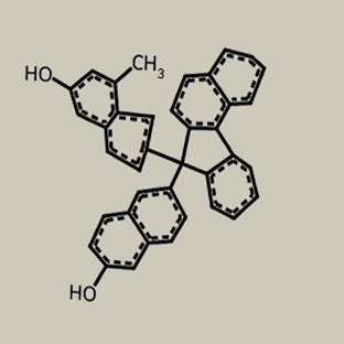 Cc1cc(O)cc2ccc(C3(c4ccc5cc(O)ccc5c4)c4ccccc4-c4c3ccc3ccccc43)cc12